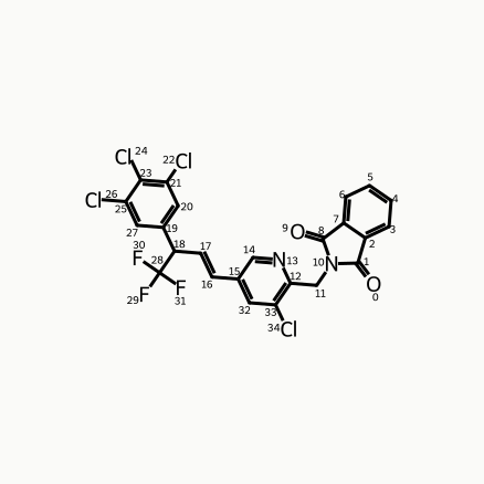 O=C1c2ccccc2C(=O)N1Cc1ncc(C=CC(c2cc(Cl)c(Cl)c(Cl)c2)C(F)(F)F)cc1Cl